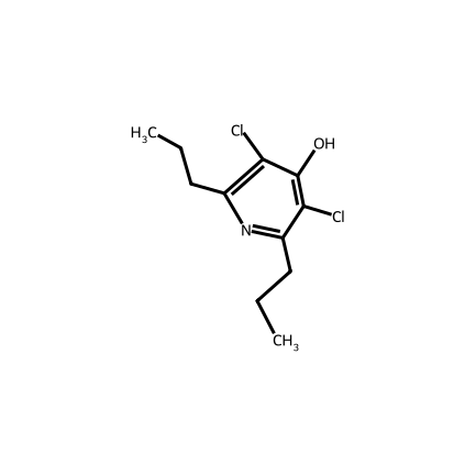 CCCc1nc(CCC)c(Cl)c(O)c1Cl